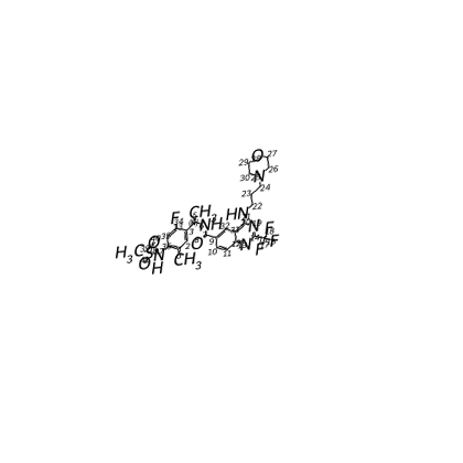 Cc1cc([C@@H](C)NC(=O)c2ccc3nc(C(F)(F)F)nc(NCCCN4CCOCC4)c3c2)c(F)cc1NS(C)(=O)=O